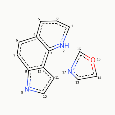 c1c[nH]c2c(c1)ccc1nccc12.c1cocn1